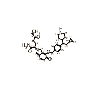 COC(=O)CCC(C(N)=O)N1C=C2C=CC(=O)C(OCc3ccc(C(CC4CC4)C4CCNCC4)cc3)=C2C1